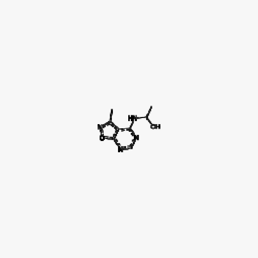 Cc1noc2ncnc(NC(C)O)c12